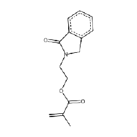 C=C(C)C(=O)OCCN1Cc2ccccc2C1=O